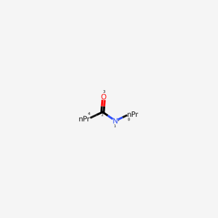 CCC[N]C(=O)CCC